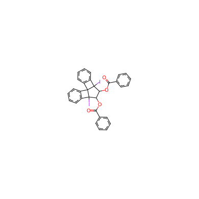 O=C(OC1C(OC(=O)c2ccccc2)C2(I)c3ccccc3C23c2ccccc2C13I)c1ccccc1